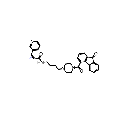 O=C(/C=C\c1cccnc1)NCCCCN1CCN(C(=O)c2cccc3c2-c2ccccc2C3=O)CC1